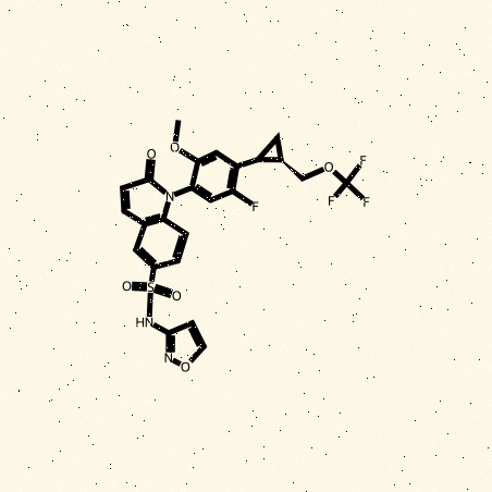 COc1cc(C2C[C@H]2COC(F)(F)F)c(F)cc1-n1c(=O)ccc2cc(S(=O)(=O)Nc3ccon3)ccc21